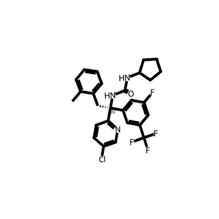 Cc1ccccc1C[C@](NC(=O)NC1CCCC1)(c1cc(F)cc(C(F)(F)F)c1)c1ccc(Cl)cn1